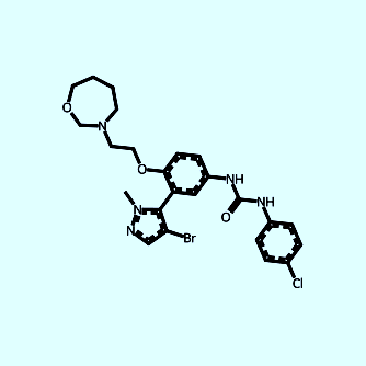 Cn1ncc(Br)c1-c1cc(NC(=O)Nc2ccc(Cl)cc2)ccc1OCCN1CCCCOC1